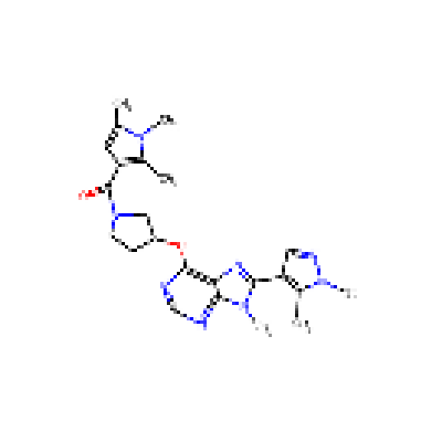 CCn1ncc(-c2nc3c(OC4CCN(C(=O)c5cc(C)n(C)c5C)C4)ncnc3n2C)c1C